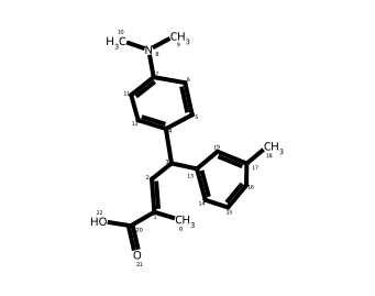 CC(=CC(c1ccc(N(C)C)cc1)c1cccc(C)c1)C(=O)O